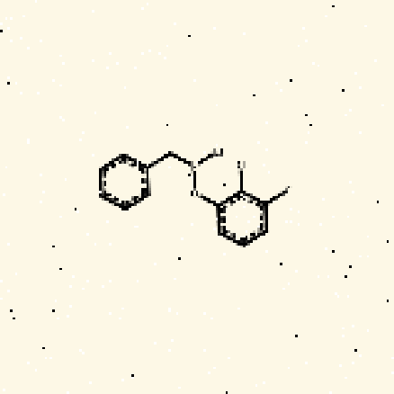 CCN(Cc1ccccc1)Oc1cccc(Cl)c1Cl